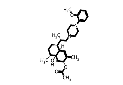 COc1ccccc1N1CCN(C[C@@H](C)[C@@H]2CC[C@@H](C)[C@]3(O)[C][C@@H](OC(C)=O)C(C)=C[C@H]23)CC1